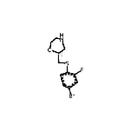 Fc1cc(Br)ccc1SC[C@@H]1CNCCO1